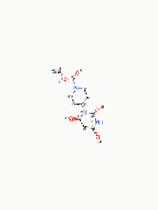 CC(C)(C)OC(=O)N1CCC(N2C(=O)CC(=O)NC2=O)CC1